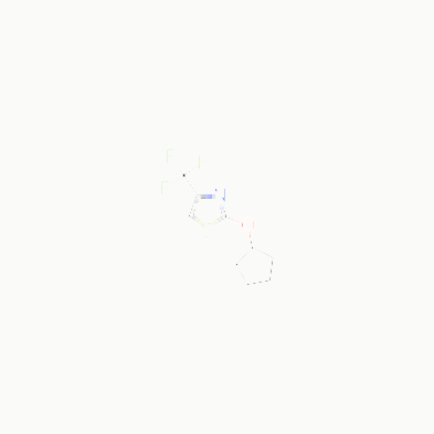 FC(F)(F)c1csc(OC2CCCC2)n1